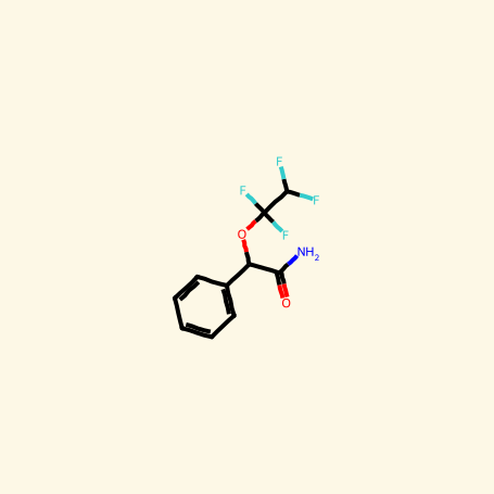 NC(=O)C(OC(F)(F)C(F)F)c1ccccc1